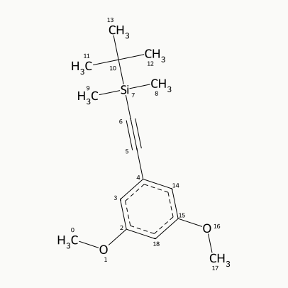 COc1cc(C#C[Si](C)(C)C(C)(C)C)cc(OC)c1